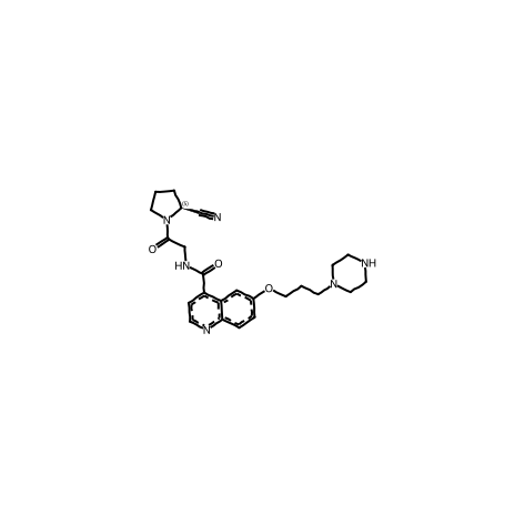 N#C[C@@H]1CCCN1C(=O)CNC(=O)c1ccnc2ccc(OCCCN3CCNCC3)cc12